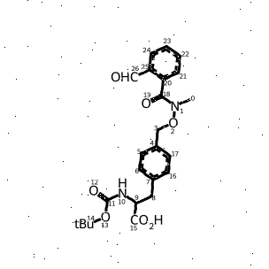 CN(OCc1ccc(CC(NC(=O)OC(C)(C)C)C(=O)O)cc1)C(=O)c1ccccc1C=O